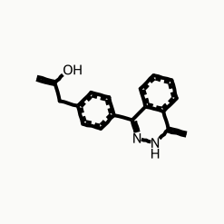 C=C(O)Cc1ccc(C2=NNC(=C)c3ccccc32)cc1